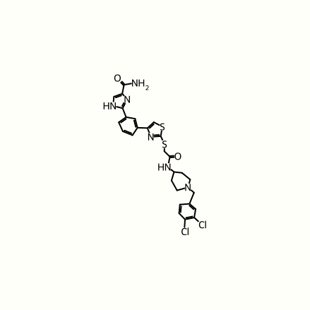 NC(=O)c1c[nH]c(-c2cccc(-c3csc(SCC(=O)NC4CCN(Cc5ccc(Cl)c(Cl)c5)CC4)n3)c2)n1